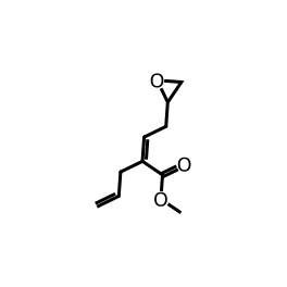 C=CCC(=CCC1CO1)C(=O)OC